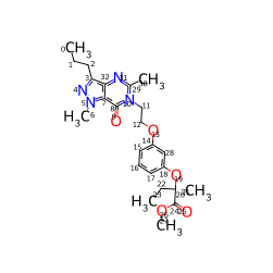 CCCc1nn(C)c2c(=O)n(CCOc3cccc(O[C@](C)(CC)C(=O)OC)c3)c(C)nc12